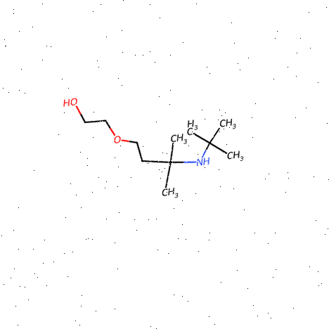 CC(C)(C)NC(C)(C)CCOCCO